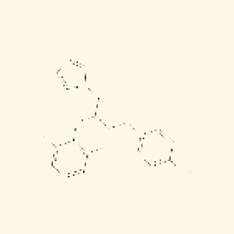 COc1ccc(CCC(Cn2ccnc2)Oc2c(Cl)cccc2Cl)cc1